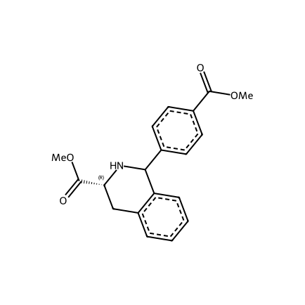 COC(=O)c1ccc(C2N[C@@H](C(=O)OC)Cc3ccccc32)cc1